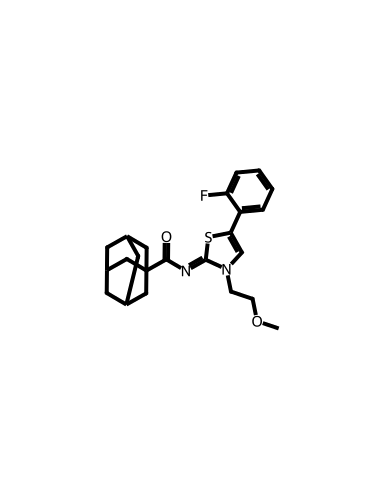 COCCn1cc(-c2ccccc2F)sc1=NC(=O)C12CC3CC(CC(C3)C1)C2